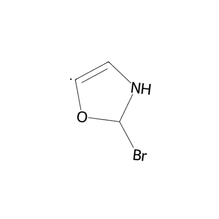 BrC1NC=[C]O1